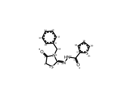 O=C(N/N=C1/SCC(=O)N1Cc1ccccc1)c1cccs1